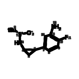 CC(C)(C)[S@+]([O-])NC1CC1c1ccc(F)c(N)c1